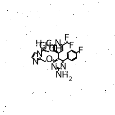 Cc1cc(-c2c(OCc3nccn3[C@H](C)CO)nc(N)nc2-c2ccc(F)cc2)cc(C(F)F)n1